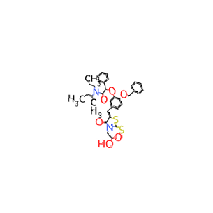 CCCN(C(=O)C(Oc1cc(C=C2SC(=S)N(CC(=O)O)C2=O)ccc1OCc1ccccc1)c1ccccc1)C(C)CC